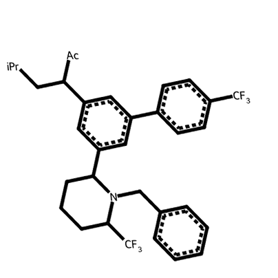 CC(=O)C(CC(C)C)c1cc(-c2ccc(C(F)(F)F)cc2)cc(C2CCCC(C(F)(F)F)N2Cc2ccccc2)c1